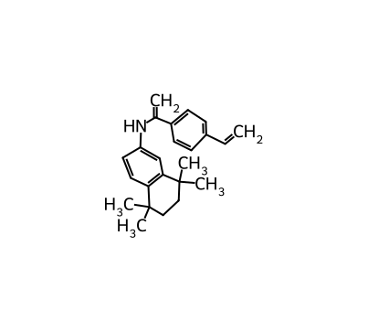 C=Cc1ccc(C(=C)Nc2ccc3c(c2)C(C)(C)CCC3(C)C)cc1